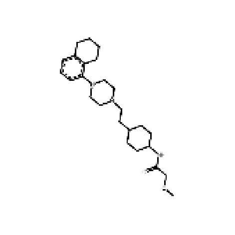 COCC(=O)NC1CCC(CCN2CCN(c3cccc4c3CCCC4)CC2)CC1